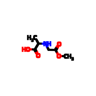 COC(=O)CNC(C)C(=O)O